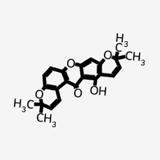 CC1(C)C=Cc2c(cc3oc4ccc5c(c4c(=O)c3c2O)C=CC(C)(C)O5)O1